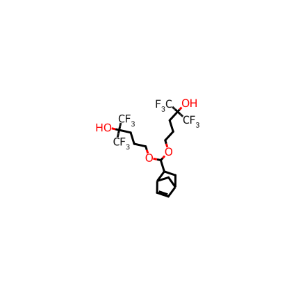 OC(CCCOC(OCCCC(O)(C(F)(F)F)C(F)(F)F)C1CC2C=CC1C2)(C(F)(F)F)C(F)(F)F